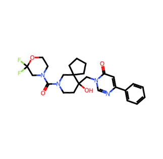 O=C(N1CCOC(F)(F)C1)N1CCC(O)(Cn2cnc(-c3ccccc3)cc2=O)C2(CCCC2)C1